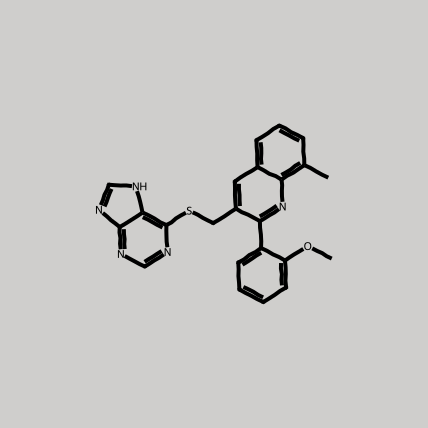 COc1ccccc1-c1nc2c(C)cccc2cc1CSc1ncnc2nc[nH]c12